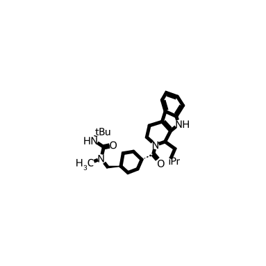 CC(C)CC1c2[nH]c3ccccc3c2CCN1C(=O)[C@H]1CC[C@H](CN(C)C(=O)NC(C)(C)C)CC1